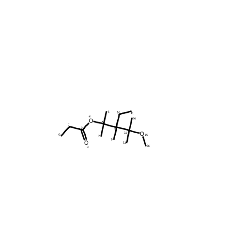 CCC(=O)OC(C)(C)C(C)(CC)C(C)(C)OC